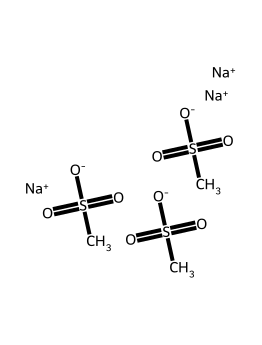 CS(=O)(=O)[O-].CS(=O)(=O)[O-].CS(=O)(=O)[O-].[Na+].[Na+].[Na+]